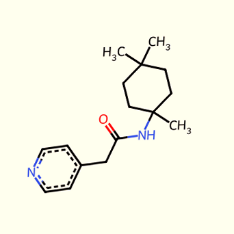 CC1(C)CCC(C)(NC(=O)Cc2ccncc2)CC1